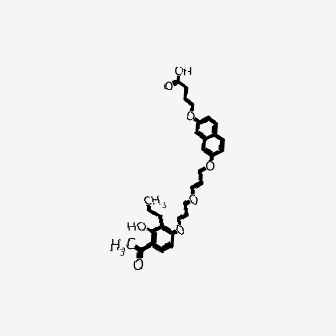 CCCc1c(OCCCOCCCOc2ccc3ccc(OCCCC(=O)O)cc3c2)ccc(C(C)=O)c1O